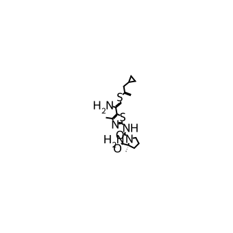 C=C(CC1CC1)S/C=C(\N)c1sc(NC(=O)N2CCC[C@@]2(C)C(N)=O)nc1C